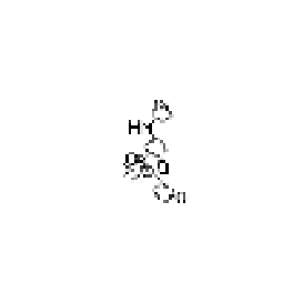 COc1cccc(COc2ccc(Nc3cccnc3)cc2B2OC(C)(C)C(C)(C)O2)c1